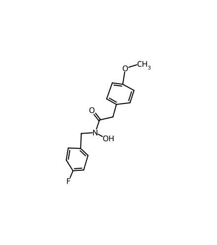 COc1ccc(CC(=O)N(O)Cc2ccc(F)cc2)cc1